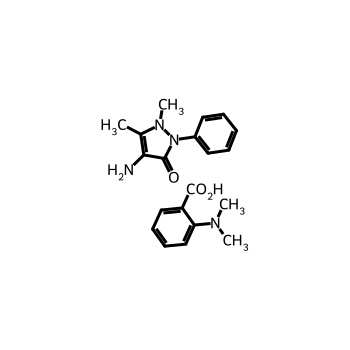 CN(C)c1ccccc1C(=O)O.Cc1c(N)c(=O)n(-c2ccccc2)n1C